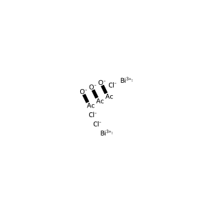 CC(=O)[O-].CC(=O)[O-].CC(=O)[O-].[Bi+3].[Bi+3].[Cl-].[Cl-].[Cl-]